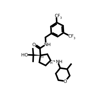 CC1COCCC1N[C@@H]1CC[C@@](C(=O)NCc2cc(C(F)(F)F)cc(C(F)(F)F)c2)(C(C)(C)O)C1